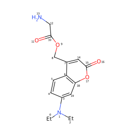 CCN(CC)c1ccc2c(COC(=O)CN)cc(=O)oc2c1